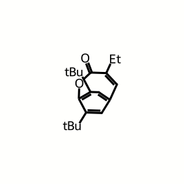 CC/C1=C/c2cc(C(C)(C)C)c(c(C(C)(C)C)c2)OC1=O